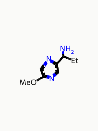 CCC(N)c1cnc(OC)cn1